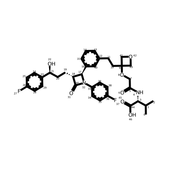 CC(C)[C@@H](NC(=O)COC1(CCc2cccc([C@@H]3[C@@H](CC[C@H](O)c4ccc(F)cc4)C(=O)N3c3ccc(F)cc3)c2)COC1)C(=O)O